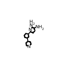 Nc1ccc(-c2cccc(-c3ccncc3)c2)nc1N